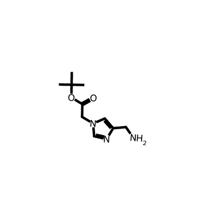 CC(C)(C)OC(=O)Cn1cnc(CN)c1